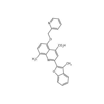 Cc1c(-c2cc(C(=O)O)c3c(OCc4ccccn4)ccc(C)c3n2)oc2ccccc12